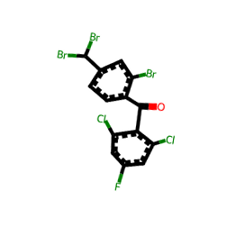 O=C(c1ccc(C(Br)Br)cc1Br)c1c(Cl)cc(F)cc1Cl